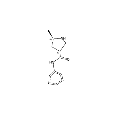 C[C@@H]1C[C@@H](C(=O)Nc2ccccc2)CN1